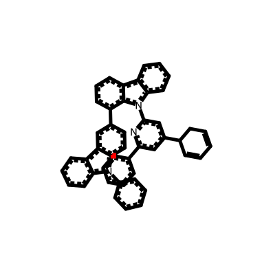 C1=CCC(c2cc(-c3ccccc3)nc(-n3c4ccccc4c4cccc(-c5ccc6c(c5)c5ccccc5n6-c5ccccc5)c43)c2)C=C1